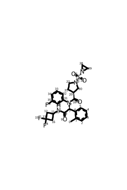 Cc1ccccc1[C@@H](C(=O)NC1CC(F)(F)C1)N(C(=O)[C@H]1CCN(S(=O)(=O)N2CC2)C1)c1cccc(F)c1